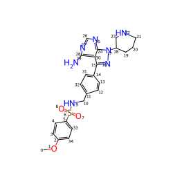 COc1ccc(S(=O)(=O)NCc2ccc(-c3nn(C4CCCNC4)c4ncnc(N)c34)cc2)cc1